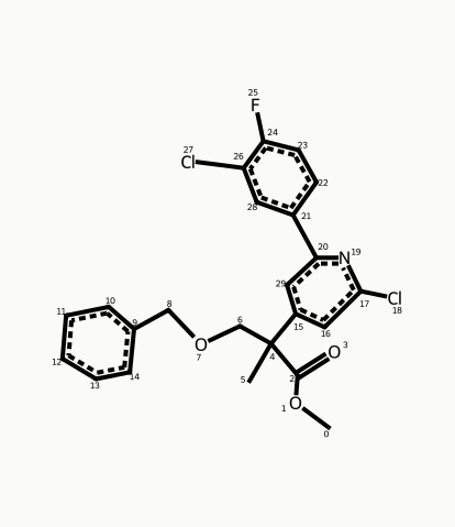 COC(=O)C(C)(COCc1ccccc1)c1cc(Cl)nc(-c2ccc(F)c(Cl)c2)c1